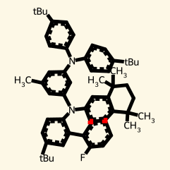 Cc1cc(N(c2ccc(C(C)(C)C)cc2)c2ccc(C(C)(C)C)cc2)cc(N(c2ccc3c(c2)C(C)(C)CCC3(C)C)c2ccc(C(C)(C)C)cc2-c2ccccc2F)c1